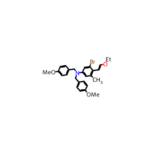 CCO/C=C/c1c(C)cc(N(Cc2ccc(OC)cc2)Cc2ccc(OC)cc2)cc1Br